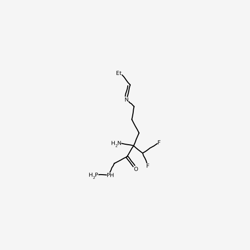 CC/C=N/CCCC(N)(C(=O)CPP)C(F)F